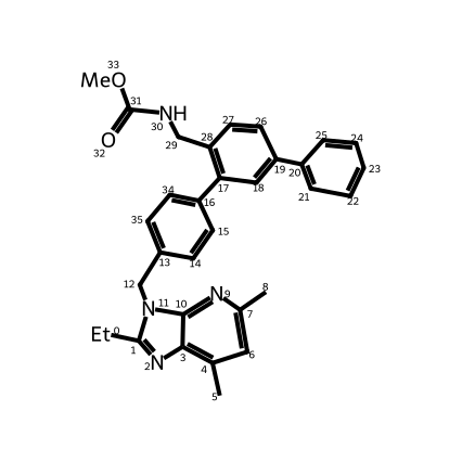 CCc1nc2c(C)cc(C)nc2n1Cc1ccc(-c2cc(-c3ccccc3)ccc2CNC(=O)OC)cc1